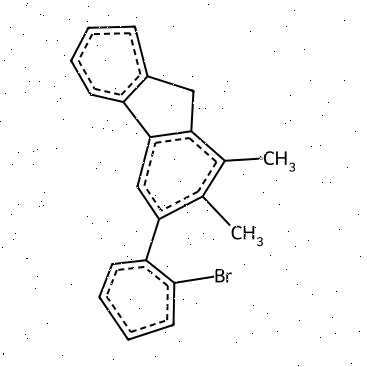 Cc1c(-c2ccccc2Br)cc2c(c1C)Cc1ccccc1-2